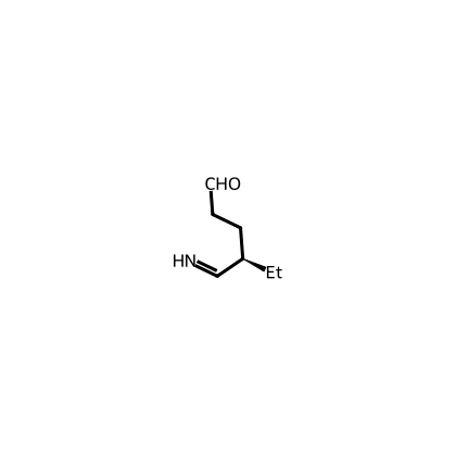 CC[C@@H](C=N)CCC=O